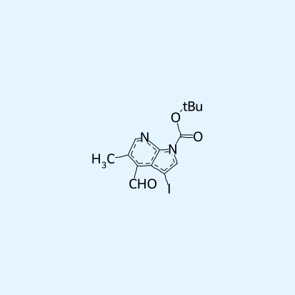 Cc1cnc2c(c(I)cn2C(=O)OC(C)(C)C)c1C=O